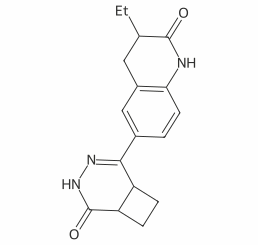 CCC1Cc2cc(C3=NNC(=O)C4CCC34)ccc2NC1=O